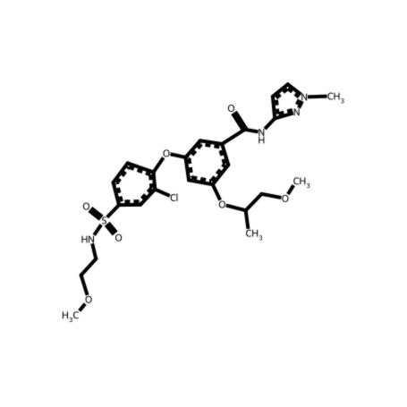 COCCNS(=O)(=O)c1ccc(Oc2cc(OC(C)COC)cc(C(=O)Nc3ccn(C)n3)c2)c(Cl)c1